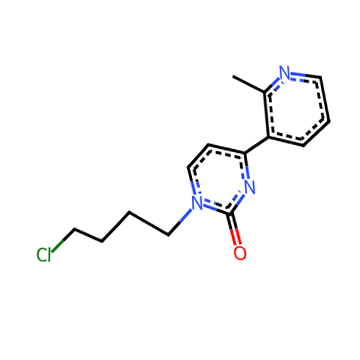 Cc1ncccc1-c1ccn(CCCCCl)c(=O)n1